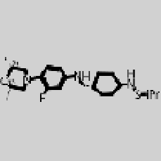 CC(C)SN[C@H]1CC[C@H](CNc2ccc(N3C[C@@H](C)O[C@@H](C)C3)c(F)c2)CC1